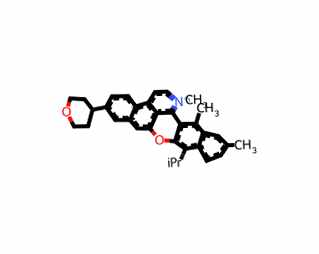 Cc1ccc2c(C(C)C)c3c(c(C)c2c1)-c1c2c(cc4cc(C5CCOCC5)ccc4c2cc[n+]1C)O3